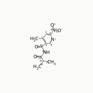 Cc1cc([N+](=O)[O-])ncc1C(=O)NC(=O)C(C)C